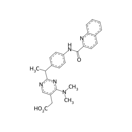 CC(c1ccc(NC(=O)c2ccc3ccccc3n2)cc1)c1ncc(CC(=O)O)c(N(C)C)n1